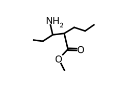 CCCC(C(=O)OC)C(N)CC